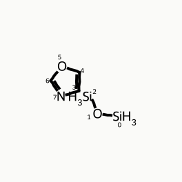 [SiH3]O[SiH3].c1cocn1